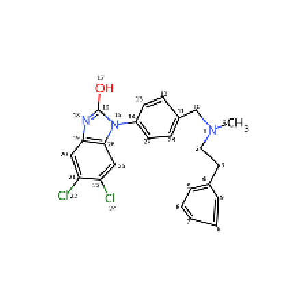 CN(CCc1ccccc1)Cc1ccc(-n2c(O)nc3cc(Cl)c(Cl)cc32)cc1